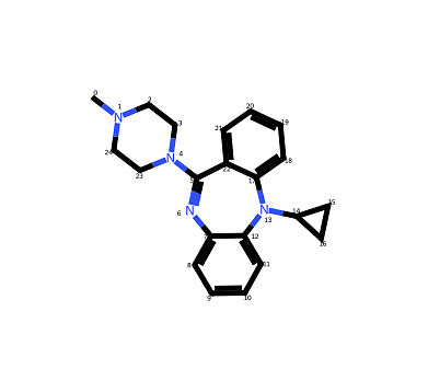 CN1CCN(C2=Nc3ccccc3N(C3CC3)c3ccccc32)CC1